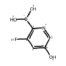 OB(O)c1ncc(O)cc1F